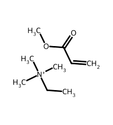 C=CC(=O)OC.CC[N+](C)(C)C